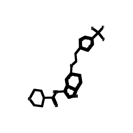 O=C(Nc1c[nH]c2ccc(OCCc3ccc(C(F)(F)F)cc3)cc12)C1CCOCC1